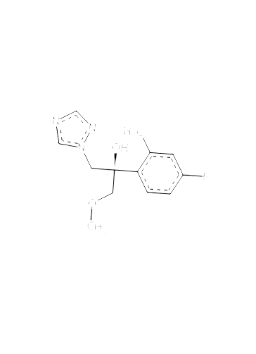 COC[C@](O)(Cn1cncn1)c1ccc(F)cc1C